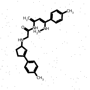 C=C(/C=C(\NN)c1ccc(C)cc1)NC(=O)CNC1C=C(c2ccc(C)cc2)CC1